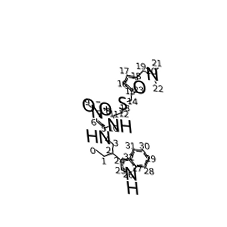 CCC(CNC(=C[N+](=O)[O-])NCCSCc1ccc(CN(C)C)o1)c1c[nH]c2ccccc12